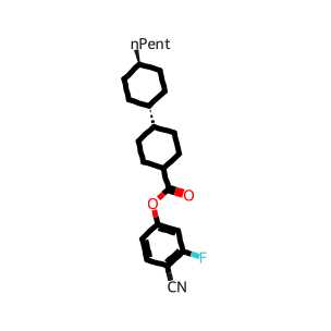 CCCCC[C@H]1CC[C@H](C2CCC(C(=O)Oc3ccc(C#N)c(F)c3)CC2)CC1